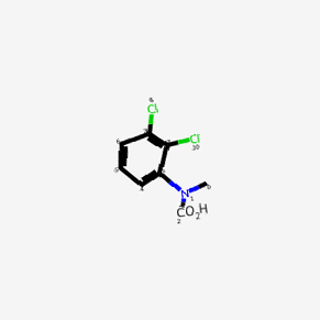 CN(C(=O)O)c1cccc(Cl)c1Cl